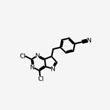 N#Cc1ccc(CC2C=Nc3c(Cl)nc(Cl)nc32)cc1